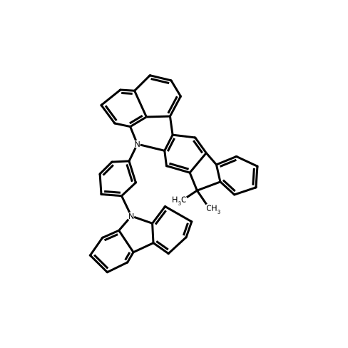 CC1(C)c2ccccc2-c2cc3c(cc21)N(c1cccc(-n2c4ccccc4c4ccccc42)c1)c1cccc2cccc-3c12